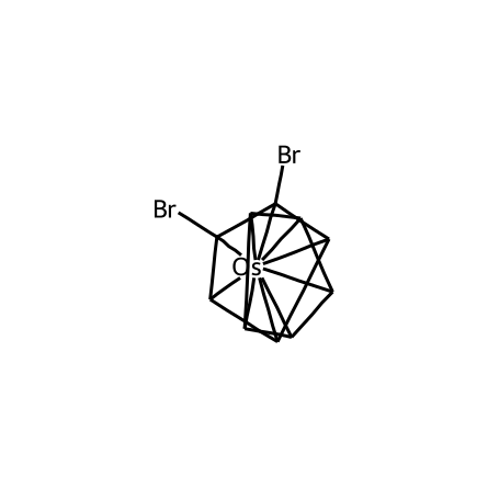 Br[C]12[CH]3[CH]4[CH]5[C]1(Br)[Os]43521678[CH]2[CH]1[CH]6[CH]7[CH]28